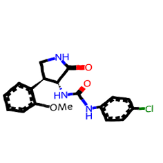 COc1ccccc1[C@H]1CNC(=O)[C@@H]1NC(=O)Nc1ccc(Cl)cc1